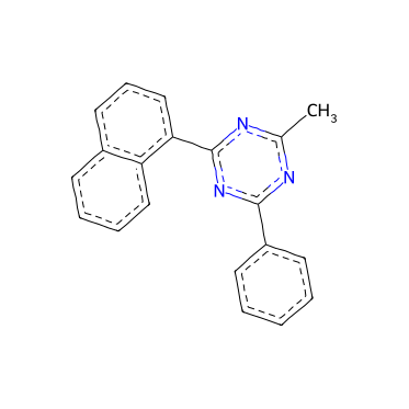 Cc1nc(-c2ccccc2)nc(-c2cccc3ccccc23)n1